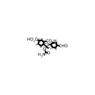 CC(OC(N)=O)(Sc1ccc(C=O)cc1)c1ccc(C(=O)O)cc1C(=O)O